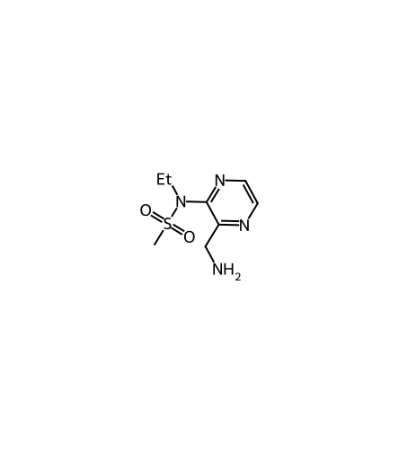 CCN(c1nccnc1CN)S(C)(=O)=O